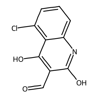 O=Cc1c(O)nc2cccc(Cl)c2c1O